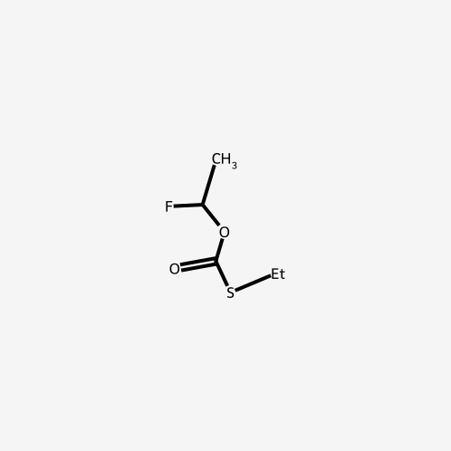 CCSC(=O)OC(C)F